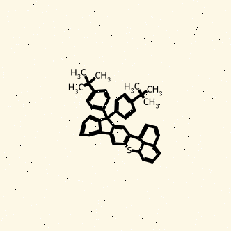 CC(C)(C)c1ccc(C2(c3ccc(C(C)(C)C)cc3)c3ccccc3-c3cc4c(cc32)C2=CC=CC3=CC=CC(S4)C32)cc1